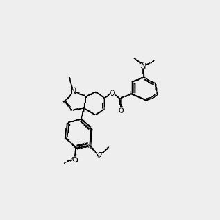 COc1ccc(C23CC=C(OC(=O)c4cccc(N(C)C)c4)CC2N(C)CC3)cc1OC